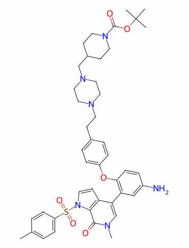 Cc1ccc(S(=O)(=O)n2ccc3c(-c4cc(N)ccc4Oc4ccc(CCN5CCN(CC6CCN(C(=O)OC(C)(C)C)CC6)CC5)cc4)cn(C)c(=O)c32)cc1